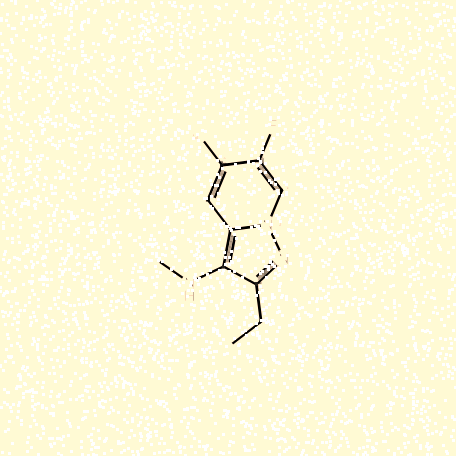 CCc1nn2cc(F)c(Br)cc2c1NC